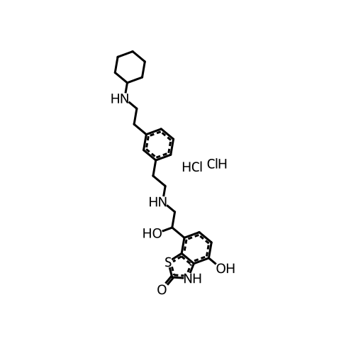 Cl.Cl.O=c1[nH]c2c(O)ccc(C(O)CNCCc3cccc(CCNC4CCCCC4)c3)c2s1